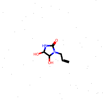 C=CCN1C(=O)NC(O)C1O